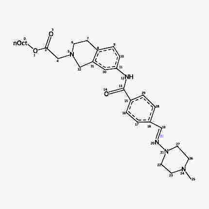 CCCCCCCCOC(=O)CN1CCc2ccc(NC(=O)c3ccc(/C=N/N4CCN(C)CC4)cc3)cc2C1